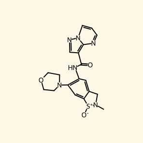 CN1Cc2cc(NC(=O)c3cnn4cccnc34)c(N3CCOCC3)cc2[S+]1[O-]